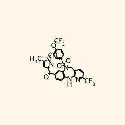 Cc1cc(C(=O)c2ccc3c(c2)N(S(=O)(=O)c2ccc(OC(F)(F)F)cc2)Cc2ccc(C(F)(F)F)nc2N3)nn1C